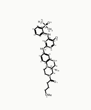 COCCCC(=O)N1CCN2c3ccc(Nc4ncc(Cl)c(Nc5ccccc5P(C)(C)=O)n4)cc3OC[C@H]2C1